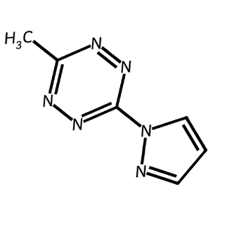 Cc1nnc(-n2cccn2)nn1